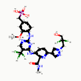 CNC(=O)c1nc(-c2cnn(CC(F)(F)CO)c2)ccc1Nc1nc(Nc2ccc(CP(=O)(O)O)cc2OC)ncc1C(F)(F)F